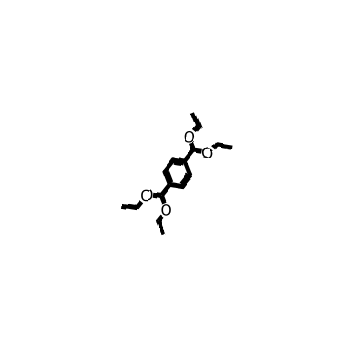 CCOC(OCC)c1ccc(C(OCC)OCC)cc1